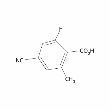 Cc1cc(C#N)cc(F)c1C(=O)O